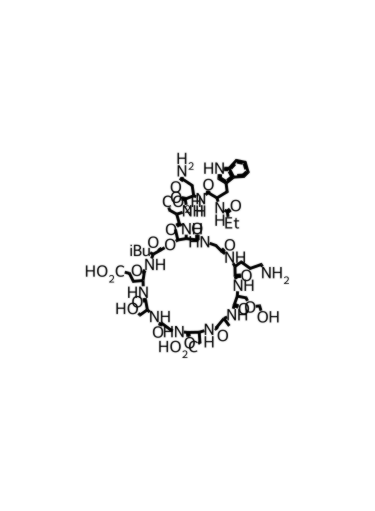 CCC(=O)NC(Cc1c[nH]c2ccccc12)C(=O)NC(CC(N)=O)C(=O)NC(CC(=O)O)C(=O)NC1C(=O)NCC(=O)NC(CCCN)C(=O)NC(COCO)C(=O)NC(C)C(=O)NC(CC(=O)O)C(=O)NCC(=O)NC(CO)C(=O)NC(CCC(=O)O)C(=O)NC(C(C)CC)C(=O)OC1C